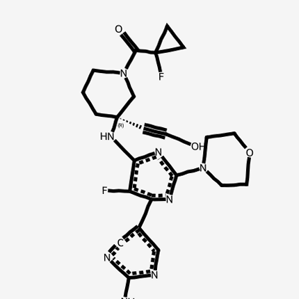 Nc1ncc(-c2nc(N3CCOCC3)nc(N[C@@]3(C#CO)CCCN(C(=O)C4(F)CC4)C3)c2F)cn1